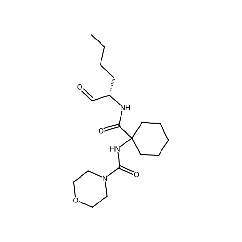 CCCC[C@@H](C=O)NC(=O)C1(NC(=O)N2CCOCC2)CCCCC1